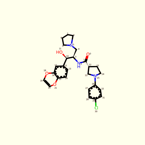 O=C(N[C@H](CN1CCCC1)[C@H](O)c1ccc2c(c1)OC=CO2)[C@@H]1CCN(c2ccc(Cl)cc2)C1